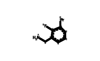 CC(C)c1cccc(CN)c1F